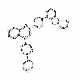 c1ccc(-c2ccc(-c3nc(-c4ccc(-c5nccc6c5Cc5ccccc5-6)cc4)nc4ccccc34)cc2)cc1